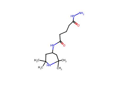 CC1(C)CC(NC(=O)CCCC(=O)NN)CC(C)(C)N1